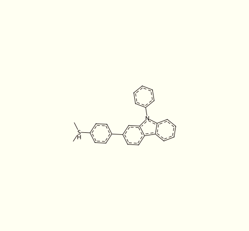 C[SH](C)c1ccc(-c2ccc3c4ccccc4n(-c4ccccc4)c3c2)cc1